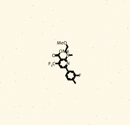 COCCN(C)c1nc(-c2ccc(C)c(F)c2)cc(C(F)(F)F)c1C(=O)OC